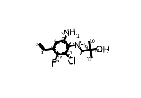 C=Cc1cc(N)c(NCC(C)(C)O)c(Cl)c1F